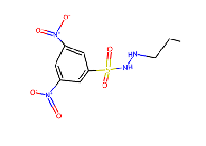 CCCNNS(=O)(=O)c1cc([N+](=O)[O-])cc([N+](=O)[O-])c1